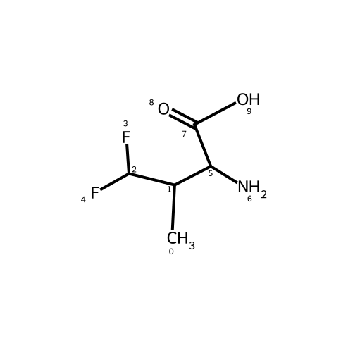 CC(C(F)F)C(N)C(=O)O